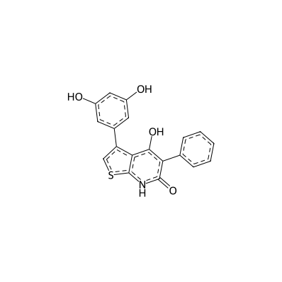 O=c1[nH]c2scc(-c3cc(O)cc(O)c3)c2c(O)c1-c1ccccc1